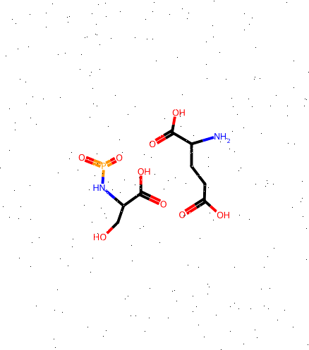 NC(CCC(=O)O)C(=O)O.O=C(O)C(CO)NP(=O)=O